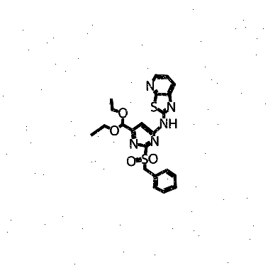 CCOC(OCC)c1cc(Nc2nc3cccnc3s2)nc(S(=O)(=O)Cc2ccccc2)n1